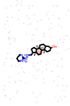 C[C@]12CCC(O)CC1CC[C@@H]1[C@H]2CC[C@]2(C)C(CNNC3=NCCCN3)CC[C@@]12O